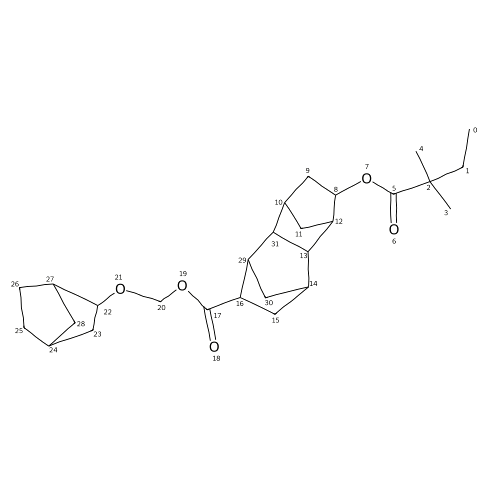 CCC(C)(C)C(=O)OC1CC2CC1C1C3CC(C(=O)OCOC4CC5CCC4C5)C(C3)C21